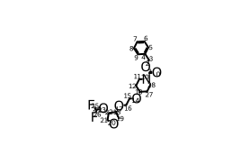 O=C(OCc1ccccc1)N1CCC(OCCOC2COCC2OC(F)F)CC1